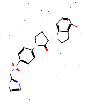 O=C1[C@@H](N2CCc3c(O)cccc32)CCN1c1ccc(S(=O)(=O)Nc2nccs2)cc1